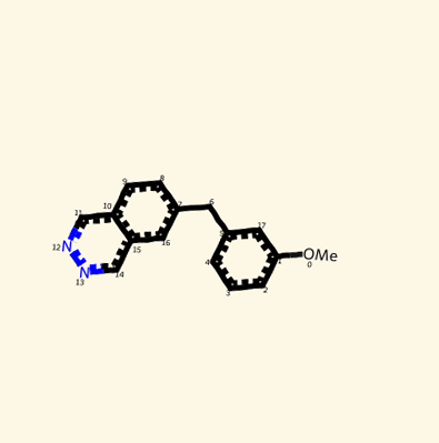 COc1cccc(Cc2ccc3cnncc3c2)c1